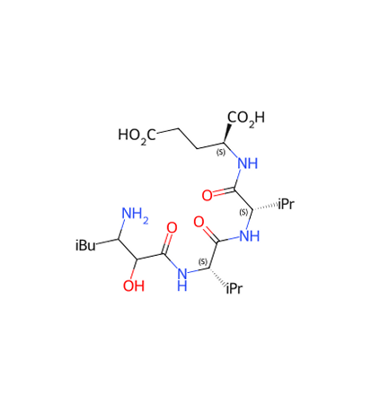 CCC(C)C(N)C(O)C(=O)N[C@H](C(=O)N[C@H](C(=O)N[C@@H](CCC(=O)O)C(=O)O)C(C)C)C(C)C